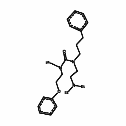 CCN(CC)CCN(CCCc1ccccc1)C(=O)N(CCOc1ccccc1)C(C)C